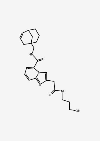 O=C(Cc1cn2c(C(=O)NCC34CC=CC(CCC3)C4)cccc2n1)NCCCO